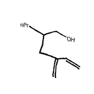 C=CC(=C)CC(CO)CCC